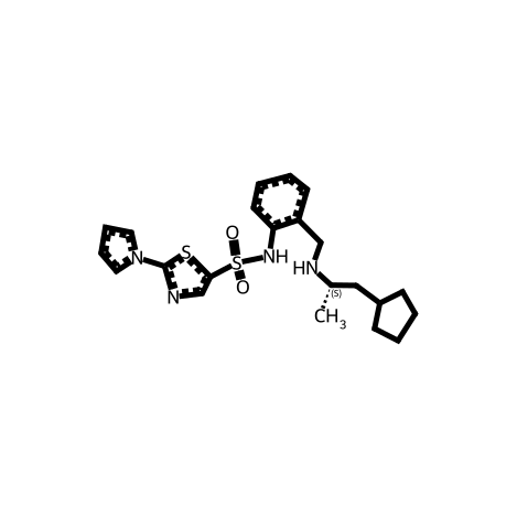 C[C@@H](CC1CCCC1)NCc1ccccc1NS(=O)(=O)c1cnc(-n2cccc2)s1